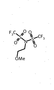 COCCN(S(=O)(=O)C(F)(F)F)S(=O)(=O)C(F)(F)F